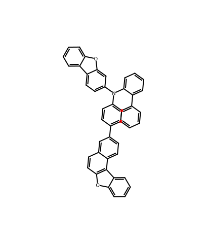 c1ccc(-c2ccccc2N(c2ccc(-c3ccc4c(ccc5oc6ccccc6c54)c3)cc2)c2ccc3c(c2)oc2ccccc23)cc1